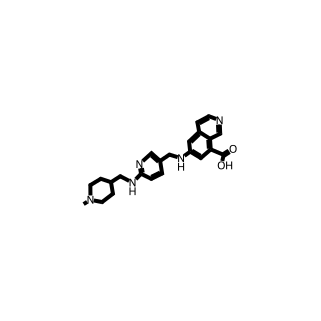 CN1CCC(CNc2ccc(CNc3cc(C(=O)O)c4cnccc4c3)cn2)CC1